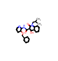 CC(C)Cn1c(=O)c(C(=O)Nc2ncccc2OCc2ccccc2)c(O)c2ccccc21